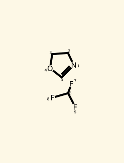 C1=NCCO1.FC(F)F